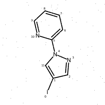 Ic1cnn(-c2ccccn2)c1